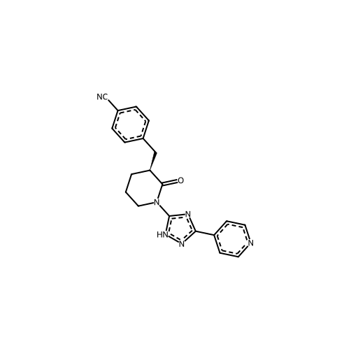 N#Cc1ccc(C[C@@H]2CCCN(c3nc(-c4ccncc4)n[nH]3)C2=O)cc1